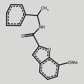 COc1cccc2cc(C(=O)NC(C)c3ccccc3)oc12